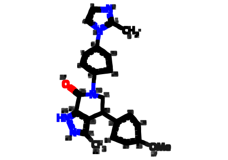 [CH2]c1nccn1-c1ccc(N2CC(c3ccc(OC)cc3)c3c(C(F)(F)F)n[nH]c3C2=O)cc1